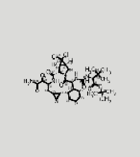 CC(C)(C)OC(=O)[C@@H](NC(=O)N[C@H](C(=O)N1C[C@H]2[C@@H]([C@H]1C(=O)NC(CC1CC1)C(=O)C(N)=O)C2(Cl)Cl)C1CCCCC1)C(C)(C)C